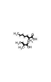 C/C=C(\C)C(=O)O.CCCC/C=C(\C)C(=O)O